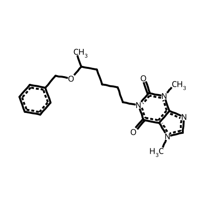 CC(CCCCn1c(=O)c2c(ncn2C)n(C)c1=O)OCc1ccccc1